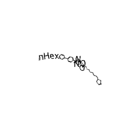 CCCCCCc1ccc(-c2ccc(-c3ncc(OC(=O)CCCCCCCC4CCCC4)cn3)cc2)cc1